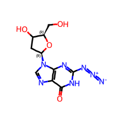 [N-]=[N+]=Nc1nc2c(ncn2[C@H]2CC(O)[C@@H](CO)O2)c(=O)[nH]1